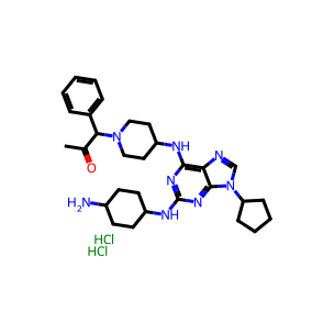 CC(=O)C(c1ccccc1)N1CCC(Nc2nc(NC3CCC(N)CC3)nc3c2ncn3C2CCCC2)CC1.Cl.Cl